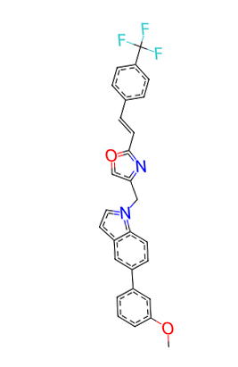 COc1cccc(-c2ccc3c(ccn3Cc3coc(/C=C/c4ccc(C(F)(F)F)cc4)n3)c2)c1